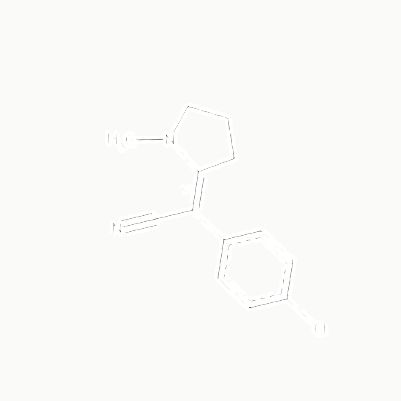 CN1CCC/C1=C(/C#N)c1ccc(Cl)cc1